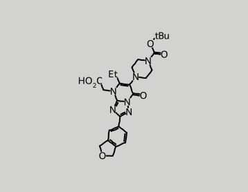 CCc1c(N2CCN(C(=O)OC(C)(C)C)CC2)c(=O)n2nc(-c3ccc4c(c3)COC4)nc2n1CC(=O)O